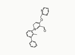 Cc1c(-c2ccccc2)cccc1N1C=C(C=O)C(OCc2ccccn2)=CC1